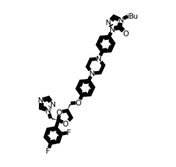 CCC(C)n1cnn(-c2ccc(N3CCN(c4ccc(OC[C@@H]5CO[C@@](Cn6cncn6)(c6ccc(F)cc6F)O5)cc4)CC3)cc2)c1=O